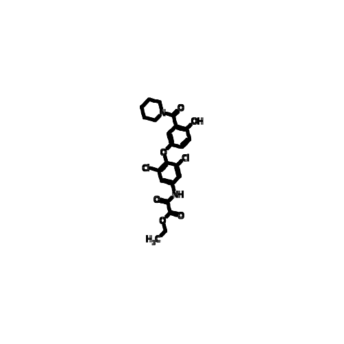 CCOC(=O)C(=O)Nc1cc(Cl)c(Oc2ccc(O)c(C(=O)N3CCCCC3)c2)c(Cl)c1